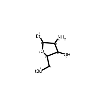 CCC1OC(CC(C)(C)C)C(O)C1N